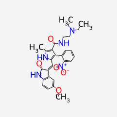 CCN(CC)CCNC(=O)c1c(C)[nH]c(/C=C2\C(=O)Nc3ccc(OC)cc32)c1-c1ccccc1[N+](=O)[O-]